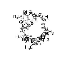 CO[C@H]1/C=C/O[C@@]2(C)Oc3c(C)c(O)c4c(c3C2=O)C(=O)C=C(NC(=O)/C(C)=C\C=C\[C@H](C)[C@H](O)[C@@H](C)[C@@H](O)C[C@@](C)(OC(C)=O)[C@@H]1C)C4=O